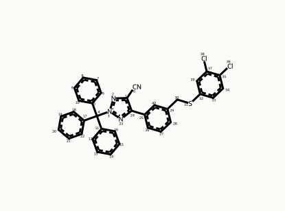 N#Cc1nn(C(c2ccccc2)(c2ccccc2)c2ccccc2)nc1-c1cccc(CSc2ccc(Cl)c(Cl)c2)c1